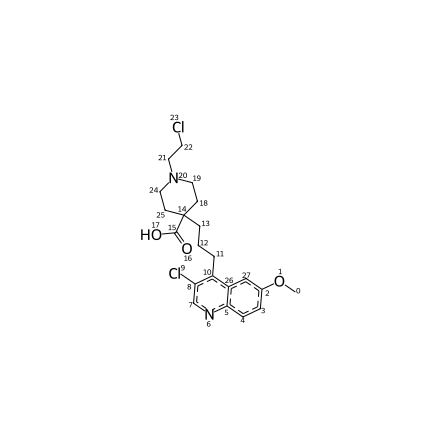 COc1ccc2ncc(Cl)c(CCCC3(C(=O)O)CCN(CCCl)CC3)c2c1